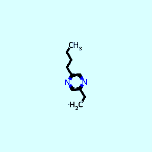 [CH2]Cc1cnc(CCCC)cn1